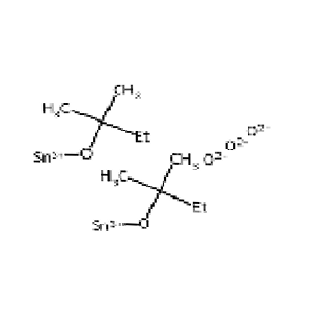 CCC(C)(C)[O][Sn+3].CCC(C)(C)[O][Sn+3].[O-2].[O-2].[O-2]